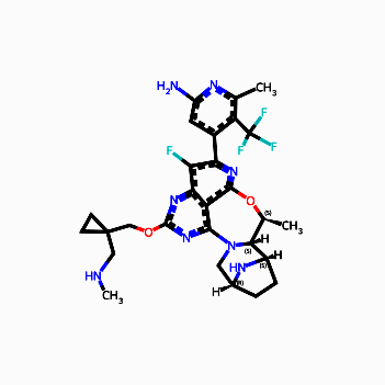 CNCC1(COc2nc3c4c(nc(-c5cc(N)nc(C)c5C(F)(F)F)c(F)c4n2)O[C@@H](C)[C@@H]2[C@@H]4CC[C@H](CN32)N4)CC1